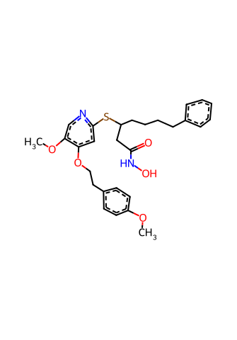 COc1ccc(CCOc2cc(SC(CCCCc3ccccc3)CC(=O)NO)ncc2OC)cc1